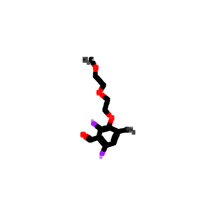 COCCOCCOc1c(C)cc(I)c(C=O)c1I